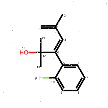 C=C(C)/C=C(/c1ccccc1F)C(C)(C)O